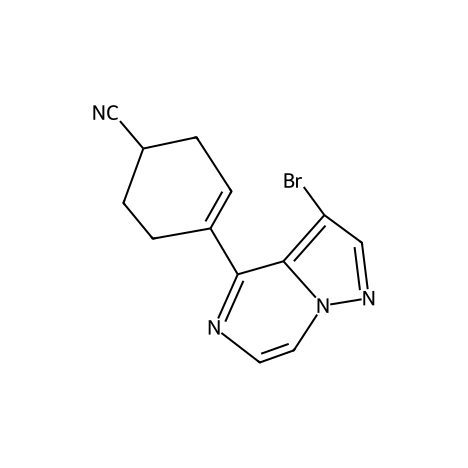 N#CC1CC=C(c2nccn3ncc(Br)c23)CC1